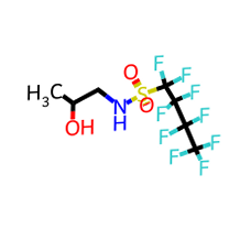 CC(O)CNS(=O)(=O)C(F)(F)C(F)(F)C(F)(F)C(F)(F)F